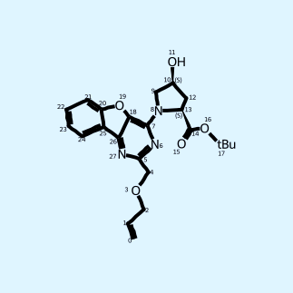 C=CCOCc1nc(N2C[C@@H](O)C[C@H]2C(=O)OC(C)(C)C)c2oc3ccccc3c2n1